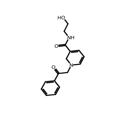 O=C(NCCO)C1=CC=CN(CC(=O)c2ccccc2)C1